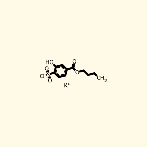 CCCCOC(=O)c1ccc(S(=O)(=O)[O-])c(O)c1.[K+]